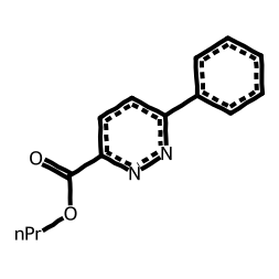 CCCOC(=O)c1ccc(-c2ccccc2)nn1